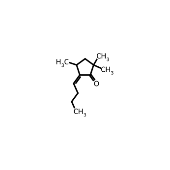 CCCC=C1C(=O)C(C)(C)CC1C